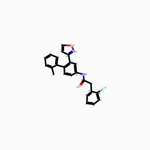 Cc1ccccc1-c1ccc(NC(=O)Cc2ccccc2F)cc1-c1ccon1